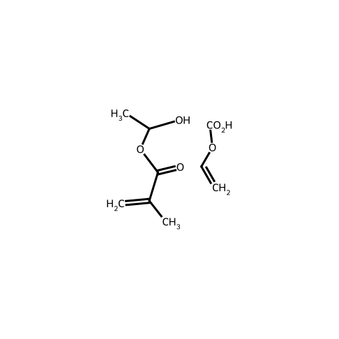 C=C(C)C(=O)OC(C)O.C=COC(=O)O